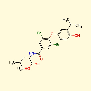 CC(C)C[C@H](NC(=O)c1cc(Br)c(Oc2ccc(O)c(C(C)C)c2)c(Br)c1)C(=O)O